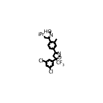 Cc1cc(C2=NOC(c3cc(Cl)cc(Cl)c3)(C(F)(F)F)C2)ccc1C(CC(C)C)=NO